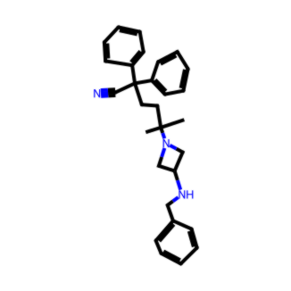 CC(C)(CCC(C#N)(c1ccccc1)c1ccccc1)N1CC(NCc2ccccc2)C1